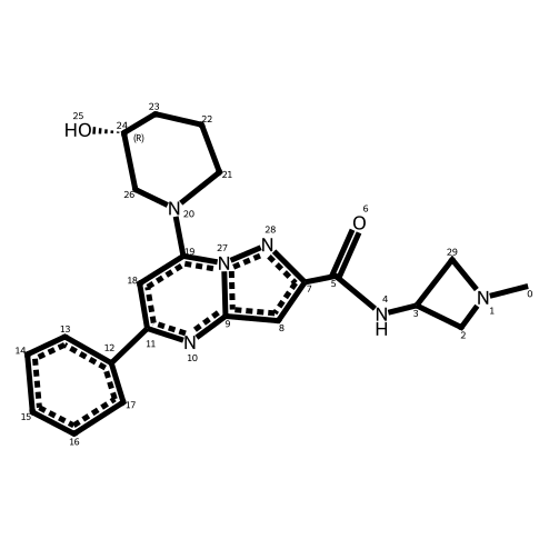 CN1CC(NC(=O)c2cc3nc(-c4ccccc4)cc(N4CCC[C@@H](O)C4)n3n2)C1